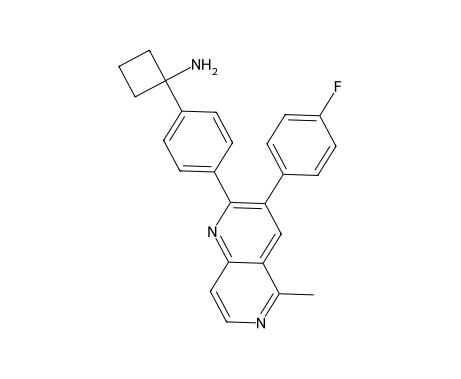 Cc1nccc2nc(-c3ccc(C4(N)CCC4)cc3)c(-c3ccc(F)cc3)cc12